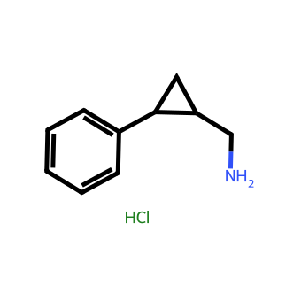 Cl.NCC1CC1c1ccccc1